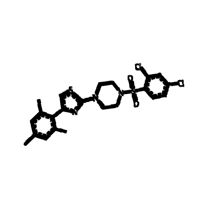 Cc1cc(C)c(-c2csc(N3CCN(S(=O)(=O)c4ccc(Cl)cc4Cl)CC3)n2)c(C)c1